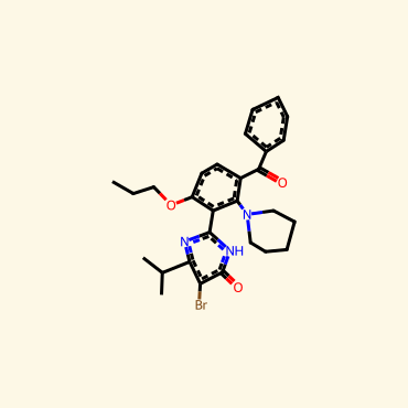 CCCOc1ccc(C(=O)c2ccccc2)c(N2CCCCC2)c1-c1nc(C(C)C)c(Br)c(=O)[nH]1